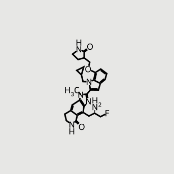 Cn1c(-c2cc3cccc(OCC4CCNC4=O)c3n2CC2CC2)nc2c(C[C@H](N)CF)c3c(cc21)CCNC3=O